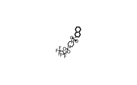 O=C(OC(C(F)(F)F)C(F)(F)F)N1CCN(S(=O)(=O)c2ccc3ccccc3c2)CC1